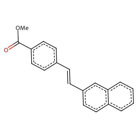 COC(=O)c1ccc(C=Cc2ccc3ccccc3c2)cc1